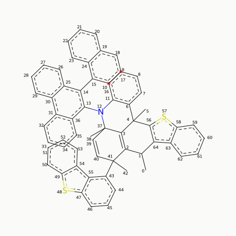 CC1C2=C3C(C)(c4ccccc4N(c4c(-c5cccc6ccccc56)c5ccccc5c5ccccc45)C3(C)C=CC2(C)c2cccc3sc4ccccc4c23)c2sc3ccccc3c21